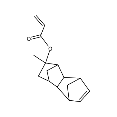 C=CC(=O)OC1(C)CC2CC1C1C3C=CC(C3)C21